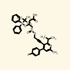 Cc1cc(-c2ccc(F)cc2)c(C#CCO[PH](=O)CC(CC(=O)O)O[Si](c2ccccc2)(c2ccccc2)C(C)(C)C)c(C(C)C)n1